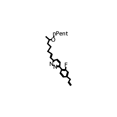 C=CCc1ccc(-c2ccc(C=CCCCC(C)OCCCCC)nn2)c(F)c1